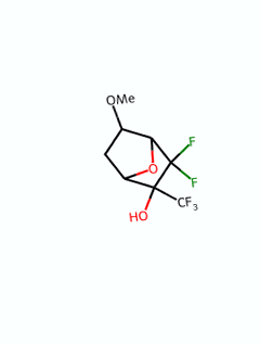 COC1CC2OC1C(F)(F)C2(O)C(F)(F)F